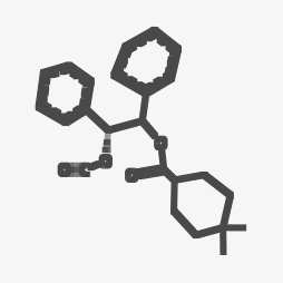 CC1(C)CCC(C(=O)OC(c2ccccc2)[C@H](OC=O)c2ccccc2)CC1